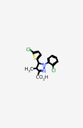 CC1C(C(=O)O)=NN(c2ccccc2Cl)C1c1ccc(Cl)s1